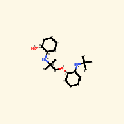 CC(C)(C)NC1CCCC[C@@H]1OCC(C)(C)N[C@@H]1CCCC[C@H]1O